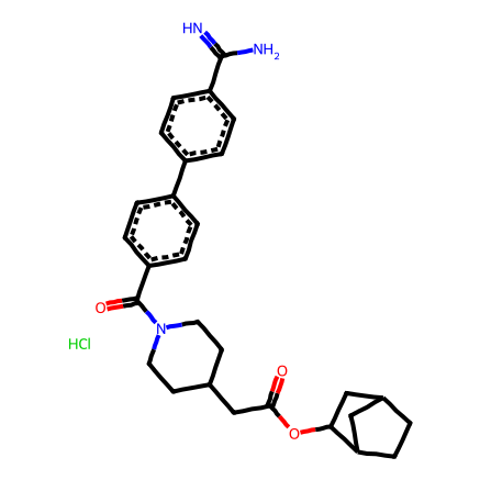 Cl.N=C(N)c1ccc(-c2ccc(C(=O)N3CCC(CC(=O)OC4CC5CCC4C5)CC3)cc2)cc1